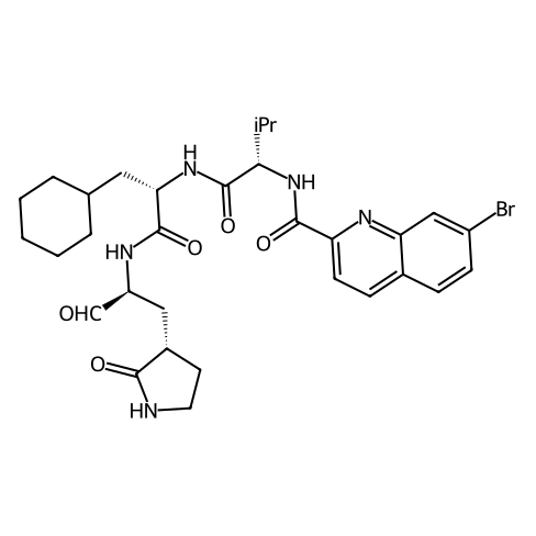 CC(C)[C@H](NC(=O)c1ccc2ccc(Br)cc2n1)C(=O)N[C@@H](CC1CCCCC1)C(=O)N[C@H](C=O)C[C@@H]1CCNC1=O